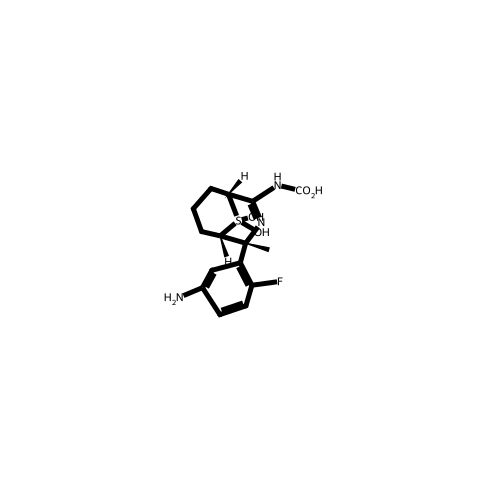 C[C@]1(c2cc(N)ccc2F)N=C(NC(=O)O)[C@H]2CCC[C@@H]1S2(O)O